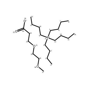 CCCC[P+](CCCC)(CCCC)CCCC.COCCOCCC(=O)[O-]